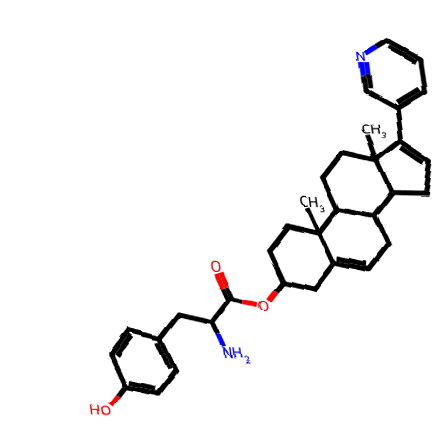 CC12CCC(OC(=O)C(N)Cc3ccc(O)cc3)CC1=CCC1C2CCC2(C)C(c3cccnc3)=CCC12